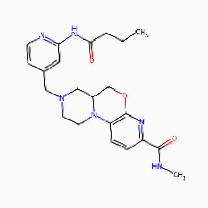 CCCC(=O)Nc1cc(CN2CCN3c4ccc(C(=O)NC)nc4OCC3C2)ccn1